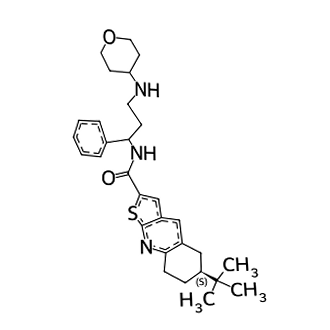 CC(C)(C)[C@H]1CCc2nc3sc(C(=O)NC(CCNC4CCOCC4)c4ccccc4)cc3cc2C1